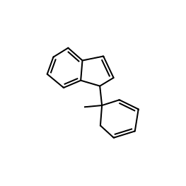 CC1(C2C=Cc3ccccc32)C=CC=CC1